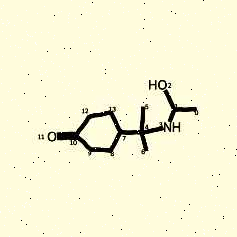 CC(O)NC(C)(C)C1CCC(=O)CC1